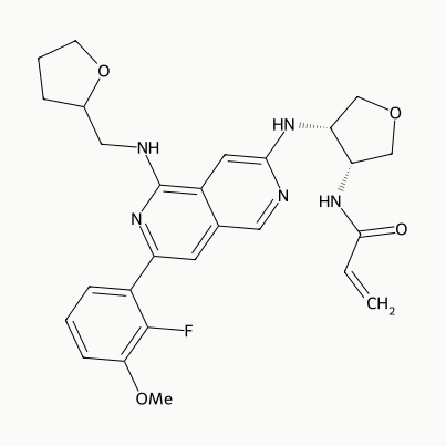 C=CC(=O)N[C@H]1COC[C@H]1Nc1cc2c(NCC3CCCO3)nc(-c3cccc(OC)c3F)cc2cn1